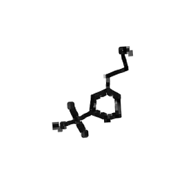 CC[CH]c1ccnc(S(C)(=O)=O)c1